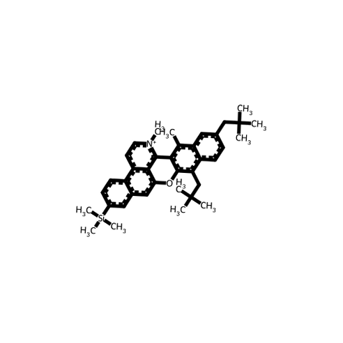 Cc1c2c(c(CC(C)(C)C)c3ccc(CC(C)(C)C)cc13)Oc1cc3cc([Si](C)(C)C)ccc3c3cc[n+](C)c-2c13